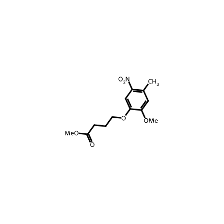 COC(=O)CCCOc1cc([N+](=O)[O-])c(C)cc1OC